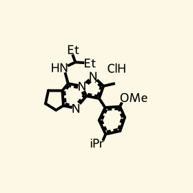 CCC(CC)Nc1c2c(nc3c(-c4cc(C(C)C)ccc4OC)c(C)nn13)CCC2.Cl